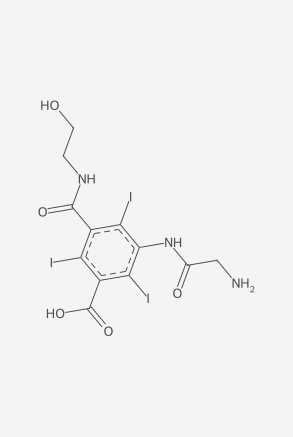 NCC(=O)Nc1c(I)c(C(=O)O)c(I)c(C(=O)NCCO)c1I